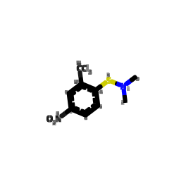 CN(C)Sc1ccc([N+](=O)[O-])cc1C(Cl)(Cl)Cl